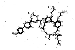 Cc1nc(-c2ccc(C(C)(C)C)cc2)nnc1C(=O)N[C@@H](CCN)C(=O)N(C)[C@@H]1C(=O)N[C@@H](C)C(=O)N[C@H](C(=O)NCC#N)Cc2ccc(OCCN)c(c2)-c2cc1ccc2OCCN